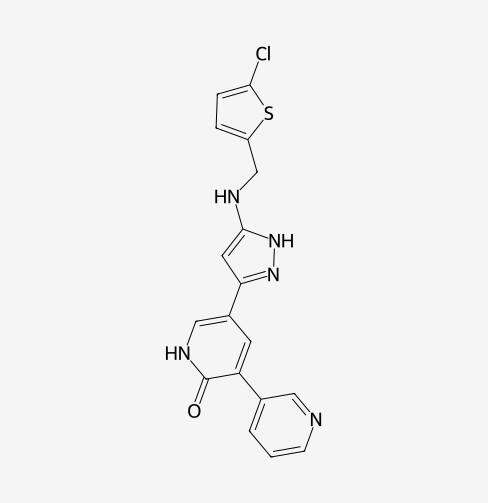 O=c1[nH]cc(-c2cc(NCc3ccc(Cl)s3)[nH]n2)cc1-c1cccnc1